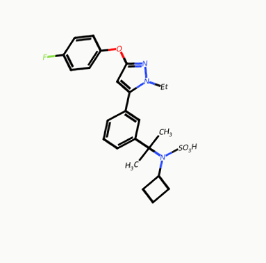 CCn1nc(Oc2ccc(F)cc2)cc1-c1cccc(C(C)(C)N(C2CCC2)S(=O)(=O)O)c1